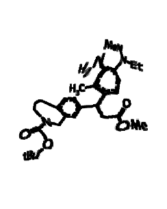 CCN(NC)c1ccc(C(CC(=O)OC)c2ccc3c(c2)CN(C(=O)OC(C)(C)C)CC3)c(C)c1N